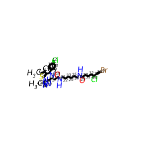 Cc1sc2c(c1C)C(c1ccc(Cl)cc1)=N[C@@H](CC(=O)NCCCCCCNC(=O)CCCC(Cl)C#CBr)c1nnc(C)n1-2